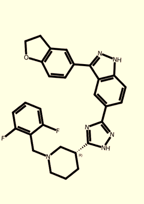 Fc1cccc(F)c1CN1CCC[C@@H](c2nc(-c3ccc4[nH]nc(-c5ccc6c(c5)CCO6)c4c3)n[nH]2)C1